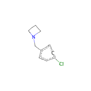 Clc1ccc(CN2CCC2)cc1